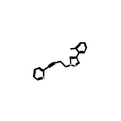 Cc1ccccc1-c1cnn(CCC#Cc2ccccn2)c1